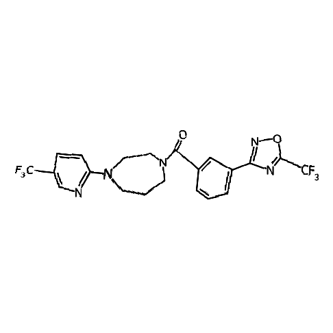 O=C(c1cccc(-c2noc(C(F)(F)F)n2)c1)N1CCCN(c2ccc(C(F)(F)F)cn2)CC1